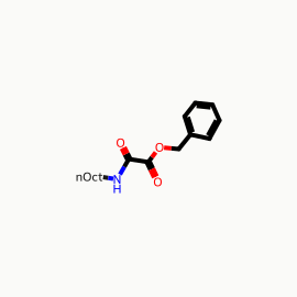 CCCCCCCCNC(=O)C(=O)OCc1ccccc1